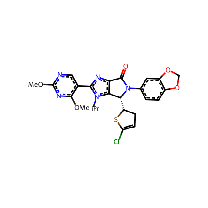 COc1ncc(-c2nc3c(n2C(C)C)[C@@H](C2CC=C(Cl)S2)N(c2ccc4c(c2)OCO4)C3=O)c(OC)n1